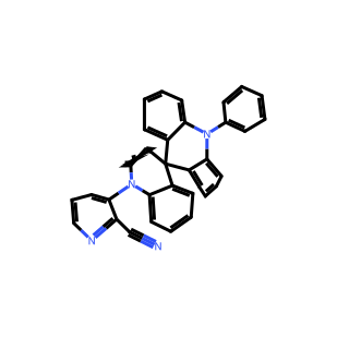 N#Cc1ncccc1N1c2ccccc2C2(c3ccccc3N(c3ccccc3)c3ccccc32)c2ccccc21